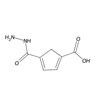 NNC(=O)C1=CC=C(C(=O)O)C1